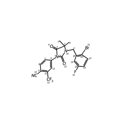 CC1(C)C(=O)N(c2ccc(C#N)c(C(F)(F)F)c2)C(=O)N1Cc1cc(F)ccc1Br